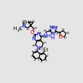 CCc1cccc2cccc(N3CCc4c(nc(OCC5(CN(C)C)CC5)nc4NCc4nnc(C5CCCO5)[nH]4)C3)c12